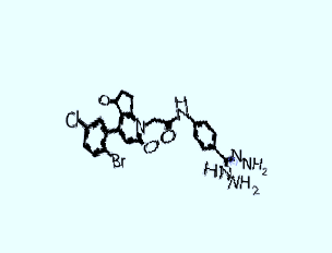 N/N=C(\NN)c1ccc(NC(=O)Cn2c3c(c(-c4cc(Cl)ccc4Br)cc2=O)C(=O)CC3)cc1